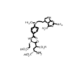 CN(CCC1CNc2nc(N)nc(N)c21)c1ccc(C(=O)N[C@@H](CCC(=O)O)C(=O)C(C[C@H](N)C(=O)O)C(=O)O)cc1